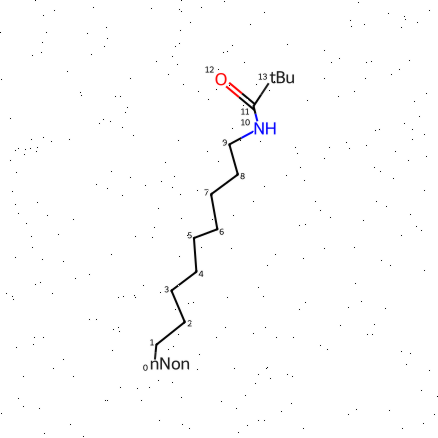 CCCCCCCCCCCCCCCCCCNC(=O)C(C)(C)C